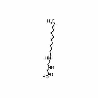 CCCCCCCCCCCCNCCNCC(=O)O